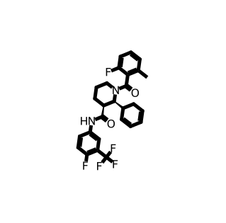 Cc1cccc(F)c1C(=O)N1CCC[C@H](C(=O)Nc2ccc(F)c(C(F)(F)F)c2)[C@@H]1C1C=CC=CC1